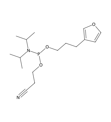 CC(C)N(C(C)C)P(OCCC#N)OCCCc1ccoc1